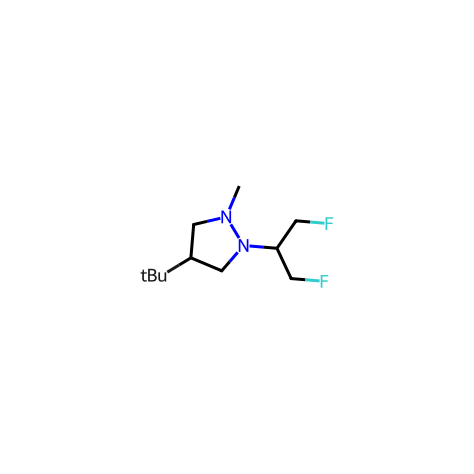 CN1CC(C(C)(C)C)CN1C(CF)CF